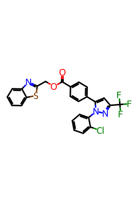 O=C(OCc1nc2ccccc2s1)c1ccc(-c2cc(C(F)(F)F)nn2-c2ccccc2Cl)cc1